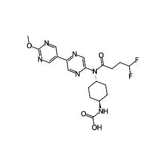 COc1ncc(-c2cnc(N(C(=O)CCC(F)F)[C@H]3CC[C@H](NC(=O)O)CC3)cn2)cn1